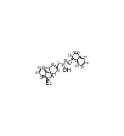 CCN1CC2(CCN(CC(O)COc3cccc4ccccc34)CC2)c2ccccc21